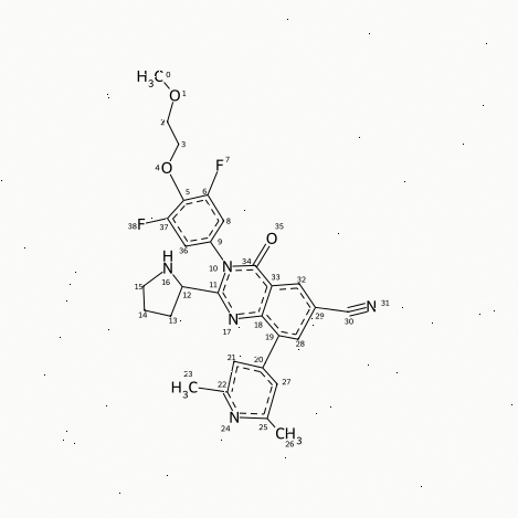 COCCOc1c(F)cc(-n2c(C3CCCN3)nc3c(-c4cc(C)nc(C)c4)cc(C#N)cc3c2=O)cc1F